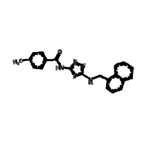 Cc1ccc(C(=O)Nc2nnc(NCc3cccc4ccccc34)s2)cc1